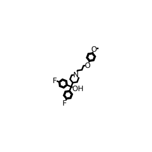 COc1ccc(OCCCN2CCC(C(O)(c3ccc(F)cc3)c3ccc(F)cc3)CC2)cc1